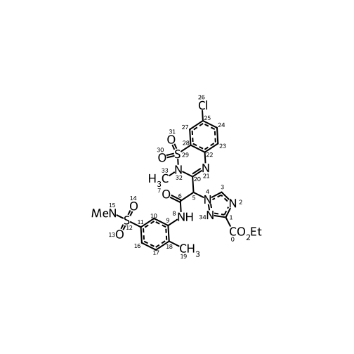 CCOC(=O)c1ncn(C(C(=O)Nc2cc(S(=O)(=O)NC)ccc2C)C2=Nc3ccc(Cl)cc3S(=O)(=O)N2C)n1